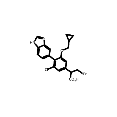 CC(C)CC(C(=O)O)c1cc(Cl)c(-c2ccc3[nH]cnc3c2)c(OCC2CC2)c1